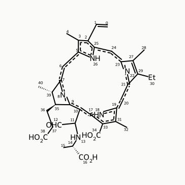 C=Cc1c(C)c2cc3nc(c(C(C=O)N[C@@H](C)C(=O)O)c4[nH]c(cc5nc(cc1[nH]2)C(C)=C5CC)c(C)c4C(=O)O)[C@@H](CCC(=O)O)[C@@H]3C